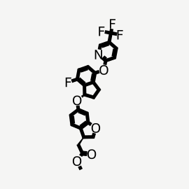 COC(=O)C[C@@H]1COc2cc(O[C@@H]3CCc4c(Oc5ccc(C(F)(F)F)cn5)ccc(F)c43)ccc21